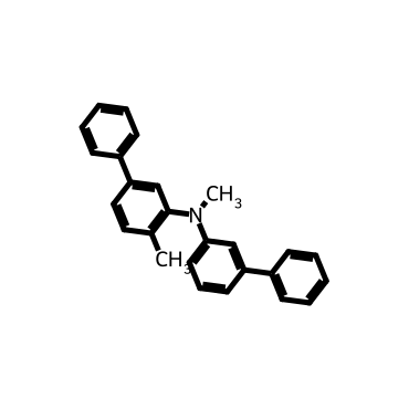 Cc1ccc(-c2ccccc2)cc1N(C)c1cccc(-c2ccccc2)c1